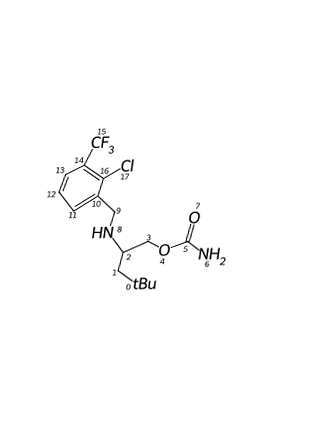 CC(C)(C)CC(COC(N)=O)NCc1cccc(C(F)(F)F)c1Cl